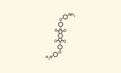 Nc1ccc(Oc2ccc(-n3c(=O)c4cc5c(=O)n(-c6ccc(Oc7ccc(N)cc7)cc6)c(=O)c5cc4c3=O)cc2)cc1